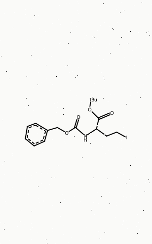 CC(C)(C)OC(=O)C(CCI)NC(=O)OCc1ccccc1